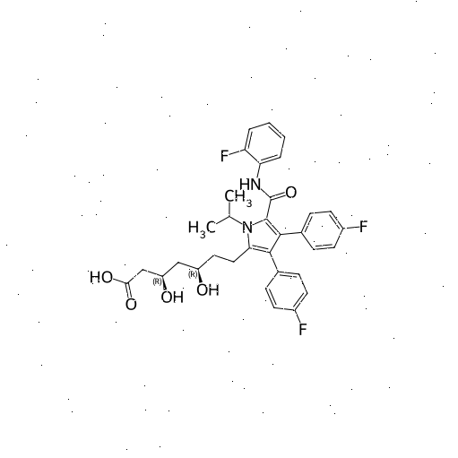 CC(C)n1c(CC[C@@H](O)C[C@@H](O)CC(=O)O)c(-c2ccc(F)cc2)c(-c2ccc(F)cc2)c1C(=O)Nc1ccccc1F